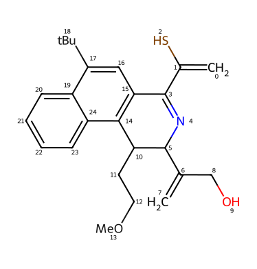 C=C(S)C1=NC(C(=C)CO)C(CCOC)c2c1cc(C(C)(C)C)c1ccccc21